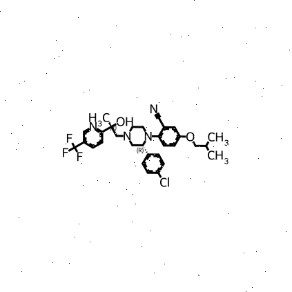 CC(C)COc1ccc(N2CCN(C[C@@](C)(O)c3ccc(C(F)(F)F)cn3)C[C@H]2c2ccc(Cl)cc2)c(C#N)c1